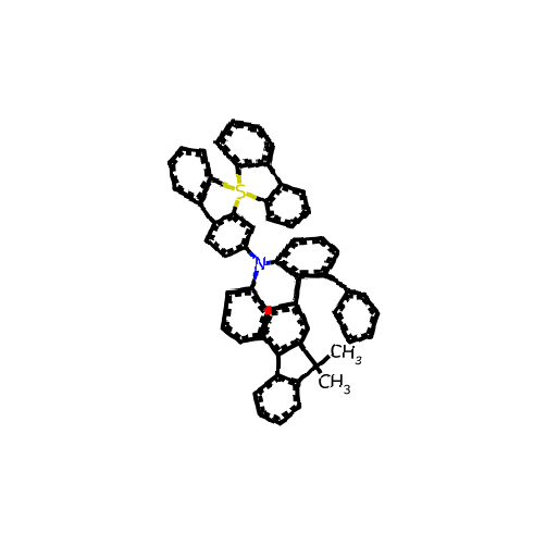 CC1(C)c2ccccc2-c2ccc(-c3c(-c4ccccc4)cccc3N(c3ccccc3)c3ccc4c(c3)S3(c5ccccc5-c5ccccc53)c3ccccc3-4)cc21